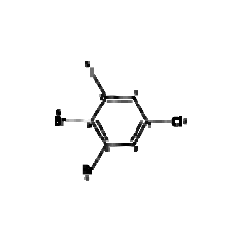 Clc1cc(Br)c(Br)c(I)c1